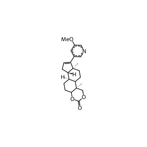 COc1cncc(C2=CC[C@H]3[C@@H]4CCC5OC(=O)OC[C@]5(C)C4CC[C@]23C)c1